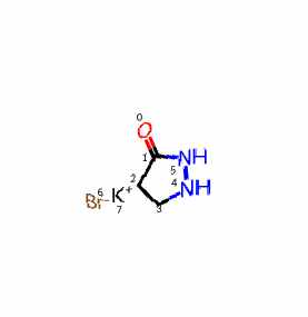 O=C1CCNN1.[Br-].[K+]